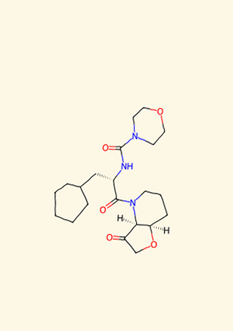 O=C1CO[C@@H]2CCCN(C(=O)[C@H](CC3CCCCC3)NC(=O)N3CCOCC3)[C@H]12